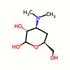 CN(C)[C@H]1C[C@@H](CO)OC(O)[C@@H]1O